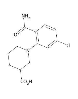 NC(=O)c1ccc(Cl)cc1N1CCCC(C(=O)O)C1